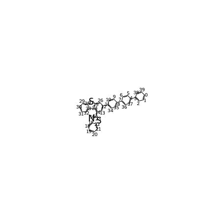 c1ccc(-c2ccc(-c3ccc(-c4cc(-c5nc6ccccc6s5)c5c(c4)sc4ccccc45)cc3)cc2)cc1